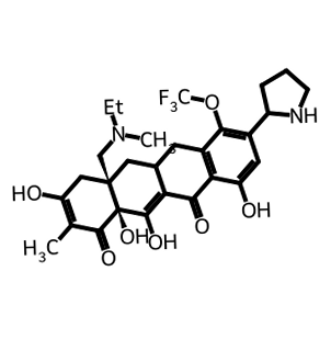 CCN(C)C[C@]12CC(O)=C(C)C(=O)[C@@]1(O)C(O)=C1C(=O)c3c(O)cc(C4CCCN4)c(OC(F)(F)F)c3CC1C2